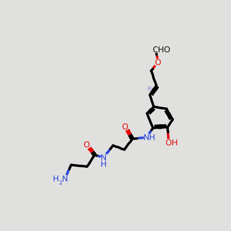 NCCC(=O)NCCC(=O)Nc1cc(/C=C/COC=O)ccc1O